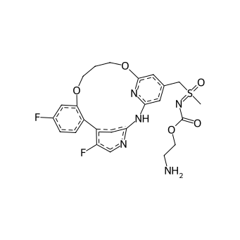 CS(=O)(Cc1cc2nc(c1)OCCCOc1cc(F)ccc1-c1cc(ncc1F)N2)=NC(=O)OCCN